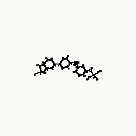 Cc1nc2cc(-c3ccc(Nc4cccc(OC(C)(F)F)c4)nc3)ccc2s1